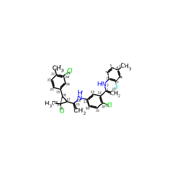 C=C(Nc1ccc(C)cc1F)c1cc(NC(=C)C2C(c3ccc(C)c(Cl)c3)C2(C)Cl)ccc1Cl